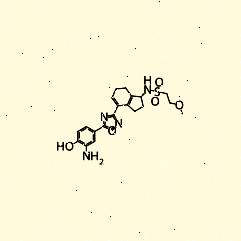 COCCS(=O)(=O)N[C@H]1CCC2=C1CCC=C2c1noc(-c2ccc(O)c(N)c2)n1